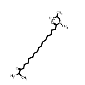 CC(C)CN(C)C(=O)CCCCCCCCCCCCCCCC(=O)C(C)C